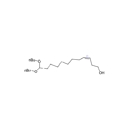 CCCCOC(CCCCCCC/C=C\CCO)OCCCC